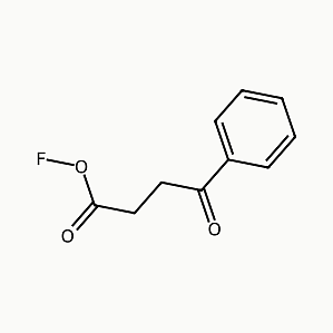 O=C(CCC(=O)c1ccccc1)OF